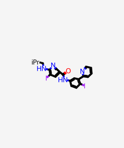 CC(C)CNc1ncc(C(=O)Nc2ccc(I)c(-c3ccccn3)c2)cc1I